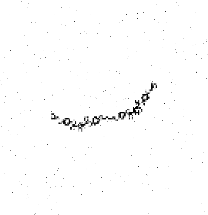 O=C(Oc1ccc(OCC2CO2)cc1)c1cc(C(=O)Oc2ccc(OCCCCOc3ccc(OC(=O)c4cc(C(=O)Oc5ccc(OCC6CO6)cc5)on4)cc3)cc2)on1